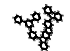 c1ccc(-c2nc(-c3ccccc3)nc(-c3cccc(-n4c5ccccc5c5cc6sc7cc(-n8c9ccccc9c9ccccc98)ccc7c6cc54)c3)n2)cc1